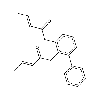 CC=CC(=O)Cc1cccc(-c2ccccc2)c1CC(=O)C=CC